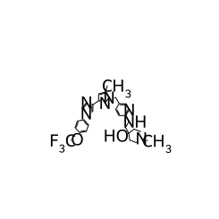 Cc1cc(-c2cn(-c3ccc(OC(F)(F)F)cc3)cn2)nn1Cc1ccc(NCC2(O)CCN(C)CC2)nc1